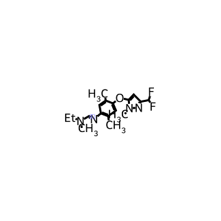 CCN(C)/C=N/c1cc(C)c(Oc2cc(C(F)F)nn2C)cc1C